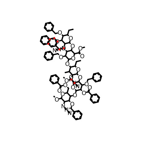 CCC1OC(OC2C(C(=O)OC)OC(OC3C(COC(=O)c4ccccc4)OC(OC)C(N=[N+]=[N-])C3OCc3ccccc3)C(OC(=O)c3ccccc3)C2OCc2ccccc2)C(N=[N+]=[N-])C(C)C1OC1OC(C(=O)OC)C(OC2OC(CC)C(OCc3ccccc3)C(OCc3ccccc3)C2N=[N+]=[N-])C(OCc2ccccc2)C1OCc1ccccc1